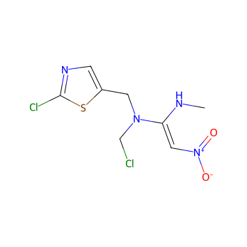 CNC(=C[N+](=O)[O-])N(CCl)Cc1cnc(Cl)s1